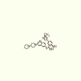 Cn1cc(-c2ccc(=N)n(C(=N)Sc3ccc4ncc(N5CCC(N6CCCCC6)CC5)cc4c3)c2)cn1